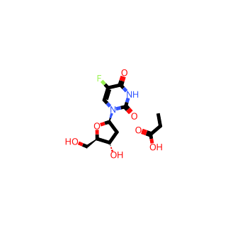 CCC(=O)O.O=c1[nH]c(=O)n([C@H]2C[C@H](O)[C@@H](CO)O2)cc1F